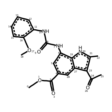 COC(=O)c1cc(NC(=O)Nc2ccccc2OC)c2[nH]c(C)c(C(C)=O)c2c1